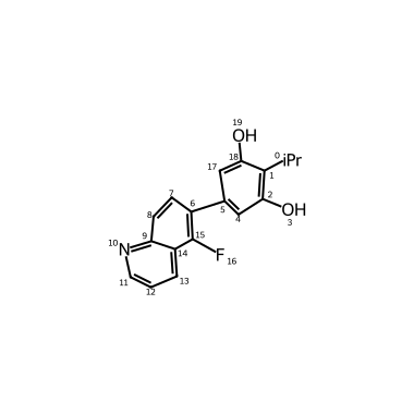 CC(C)c1c(O)cc(-c2ccc3ncccc3c2F)cc1O